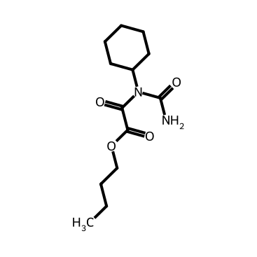 CCCCOC(=O)C(=O)N(C(N)=O)C1CCCCC1